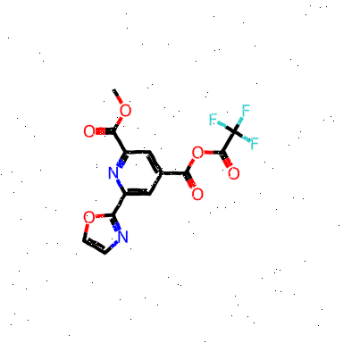 COC(=O)c1cc(C(=O)OC(=O)C(F)(F)F)cc(-c2ncco2)n1